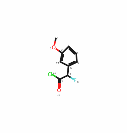 COc1cccc(C(F)C(=O)Cl)c1